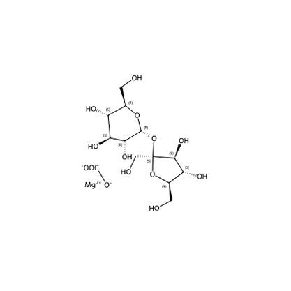 O=C([O-])[O-].OC[C@H]1O[C@@](CO)(O[C@H]2O[C@H](CO)[C@@H](O)[C@H](O)[C@H]2O)[C@@H](O)[C@@H]1O.[Mg+2]